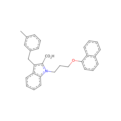 Cc1cccc(Cc2c(C(=O)O)n(CCCOc3cccc4ccccc34)c3ccccc23)c1